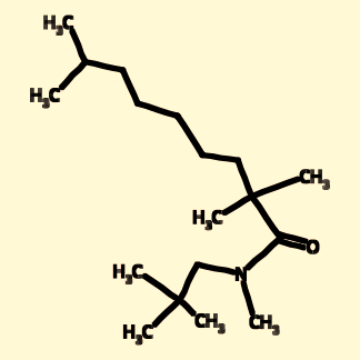 CC(C)CCCCCC(C)(C)C(=O)N(C)CC(C)(C)C